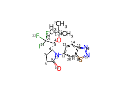 C[Si](C)(C)OC([C@H]1CCC(=O)N1c1ccc2nnsc2c1)C(F)(F)F